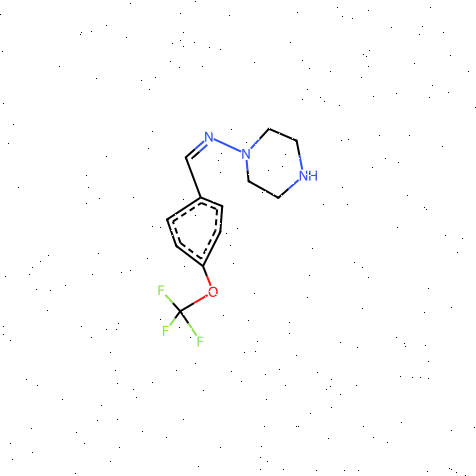 FC(F)(F)Oc1ccc(/C=N\N2CCNCC2)cc1